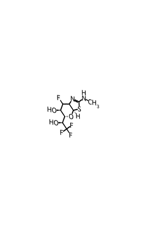 CNC1=NC2C(F)[C@H](O)[C@@H]([C@H](O)C(F)(F)F)O[C@@H]2S1